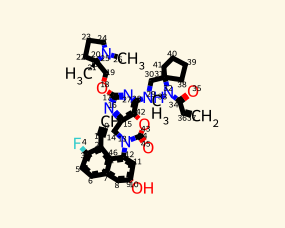 C#Cc1c(F)ccc2cc(O)cc(N3Cc4nc(OC[C@]5(C)CCCN5C)nc(NCC5(N(C)C(=O)C=C)CCCC5)c4OC3=O)c12